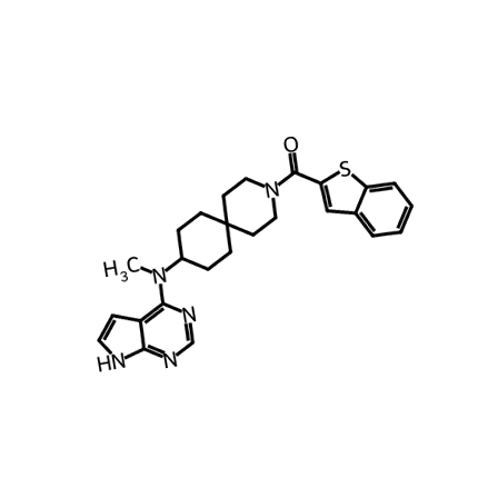 CN(c1ncnc2[nH]ccc12)C1CCC2(CC1)CCN(C(=O)c1cc3ccccc3s1)CC2